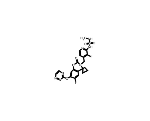 CNS(=O)(=O)Nc1nccc(CN2C(=O)Oc3cc(Oc4nccnn4)c(F)cc3C23CCC3)c1F